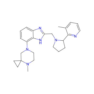 Cc1cccnc1C1CCCN1Cc1nc2cccc(N3CCN(C)C4(CC4)C3)c2[nH]1